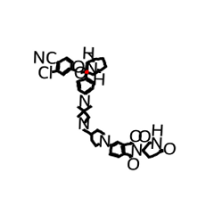 N#Cc1ccc(OC2C[C@H]3CC[C@@H](C2)N3C(=O)c2ccc(N3CC4(CN(CC5CCN(c6ccc7c(c6)C(=O)N(C6CCC(=O)NC6=O)C7=O)CC5)C4)C3)cc2)cc1Cl